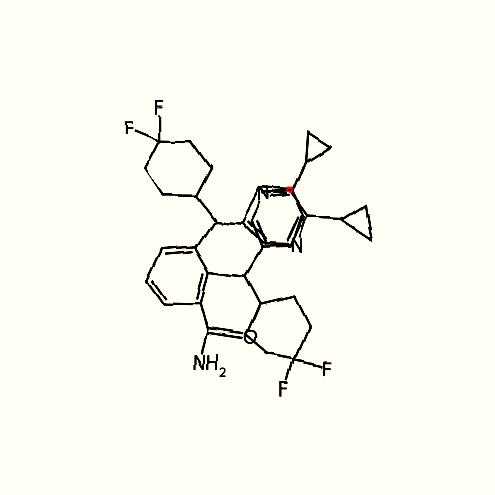 NC(=O)c1cccc(C(c2ccc(C3CC3)nc2)C2CCC(F)(F)CC2)c1C(c1ccc(C2CC2)nc1)C1CCC(F)(F)CC1